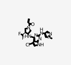 C=CC(=O)N1C[C@H](Nc2nc(Nc3cnn(C)c3)nc3[nH]cc(Cl)c23)[C@@H](C(F)F)C1